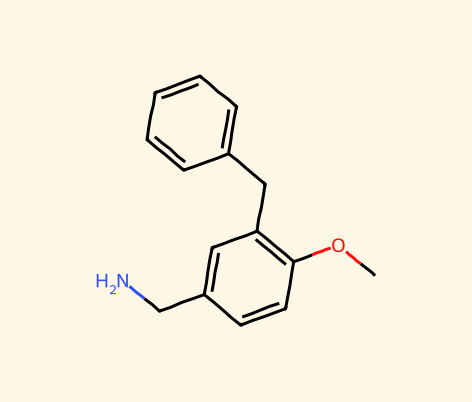 COc1ccc(CN)cc1Cc1ccccc1